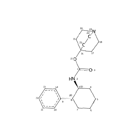 O=C(N[C@H]1CCCC[C@@H]1c1ccccc1)OC12CCN(CC1)CC2